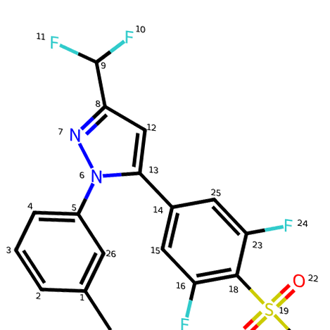 Cc1cccc(-n2nc(C(F)F)cc2-c2cc(F)c(S(C)(=O)=O)c(F)c2)c1